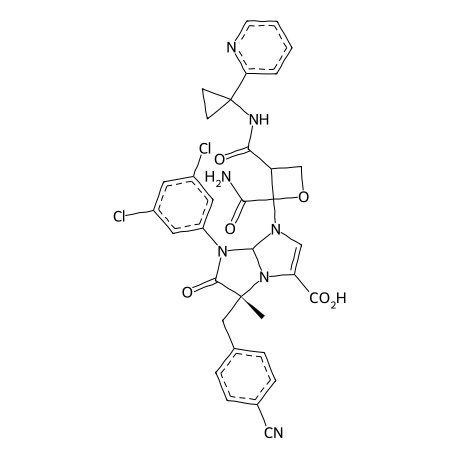 C[C@@]1(Cc2ccc(C#N)cc2)C(=O)N(c2cc(Cl)cc(Cl)c2)C2N(C3(C(N)=O)OCC3C(=O)NC3(c4ccccn4)CC3)C=C(C(=O)O)N21